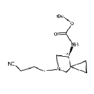 CC(C)(C)OC(=O)N[C@@H]1CN(CCCC#N)CC12CC2